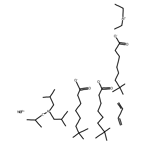 C=CC=C.CC(C)(C)CCCCCC(=O)[O-].CC(C)(C)CCCCCC(=O)[O-].CC(C)(C)CCCCCC(=O)[O-].CC(C)[CH2][Al]([CH2]C(C)C)[CH2]C(C)C.C[CH2][Al+][CH2]C.[Cl-].[Nd+3]